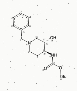 CC(C)(C)OC(=O)N[C@H]1CCN(Cc2ccccc2)C[C@@H]1O